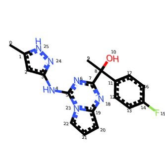 Cc1cc(Nc2nc(C(C)(O)c3ccc(F)cc3)nc3cccn23)n[nH]1